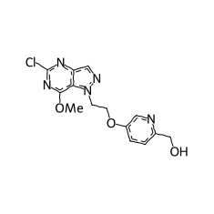 COc1nc(Cl)nc2cnn(CCOc3ccc(CO)nc3)c12